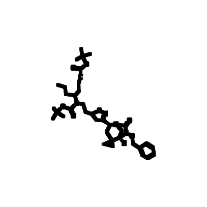 CCCC(CCCC(=O)OC(C)(C)C)N(CCC1CC([C@@H]2CC3(CC3)[C@H]3CN2C(=O)N3OCc2ccccc2)=NO1)C(=O)OC(C)(C)C